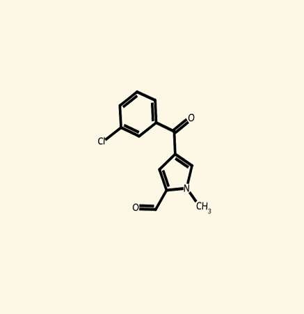 Cn1cc(C(=O)c2cccc(Cl)c2)cc1C=O